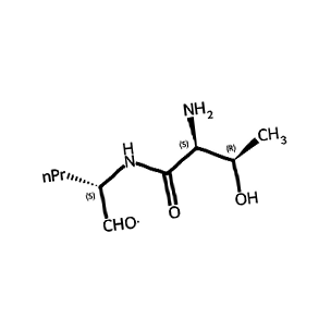 CCC[C@@H]([C]=O)NC(=O)[C@@H](N)[C@@H](C)O